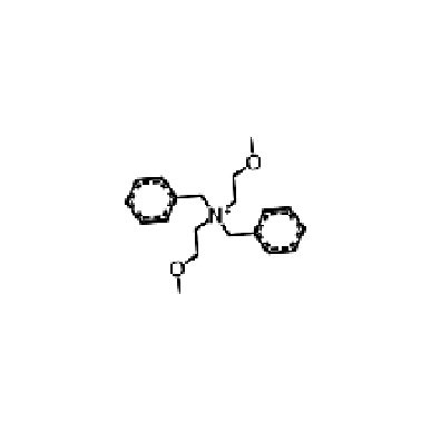 COCC[N+](CCOC)(Cc1ccccc1)Cc1ccccc1